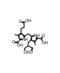 Cc1c(C(=O)O)[nH]c(Cc2[nH]c(C(=O)O)c(C)c2CC(C=O)CO)c1CCC(=O)O